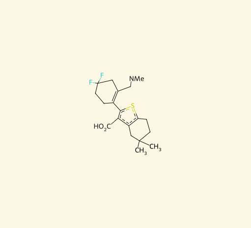 CNCC1=C(c2sc3c(c2C(=O)O)CC(C)(C)CC3)CCC(F)(F)C1